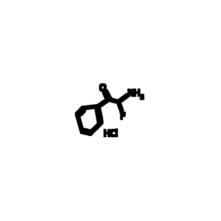 Cl.NC(F)C(=O)c1ccccc1